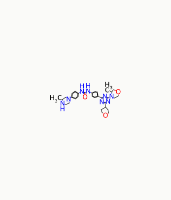 CC1CN(c2ccc(NC(=O)Nc3ccc(-c4nc(C5CCOCC5)nc(N5CCOCC5C)n4)cc3)cc2)CCN1